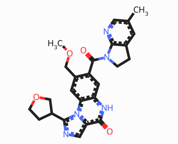 COCc1cc2c(cc1C(=O)N1CCc3cc(C)cnc31)[nH]c(=O)c1cnc(C3CCOC3)n12